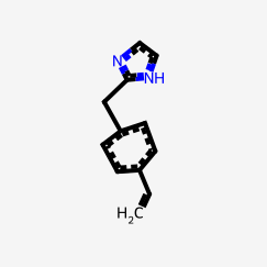 C=Cc1ccc(Cc2ncc[nH]2)cc1